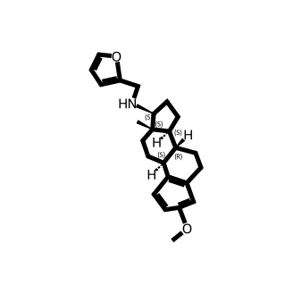 COc1ccc2c(c1)CC[C@@H]1[C@@H]2CC[C@]2(C)[C@@H](NCc3ccco3)CC[C@@H]12